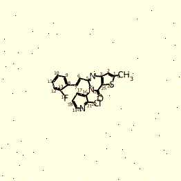 Cc1cc2nc(/C=C/c3ccccc3F)n(-c3cccnc3Cl)c(=O)c2s1